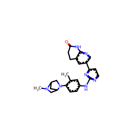 Cc1cc(Nc2nccc(-c3cnc4c(c3)CCC(=O)N4)n2)ccc1N1CC2CC1CN2C